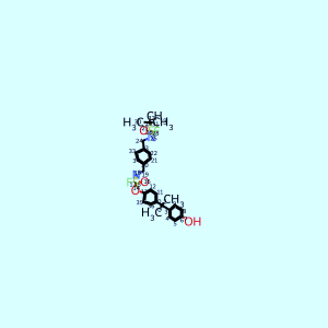 CC(C)(c1ccc(O)cc1)c1ccc(OS(=O)(F)=NCc2ccc(CN=S(=O)(F)C(C)(C)C)cc2)cc1